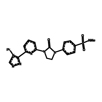 CNS(=O)(=O)c1ccc(N2CCN(c3cccc(-c4nncn4C(C)C)n3)C2=O)cc1